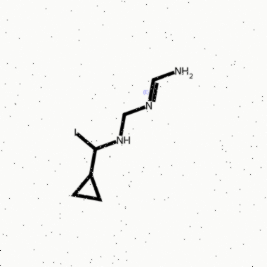 N/C=N/CNC(I)C1CC1